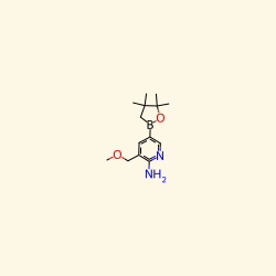 COCc1cc(B2CC(C)(C)C(C)(C)O2)cnc1N